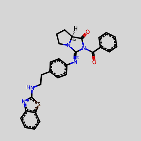 O=C(c1ccccc1)N1C(=O)[C@@H]2CCCN2/C1=N\c1ccc(CCNc2nc3ccccc3s2)cc1